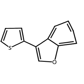 c1csc(-c2coc3ccccc23)c1